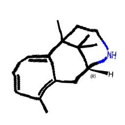 Cc1cccc2c1C[C@H]1NCCC2(C)C1(C)C